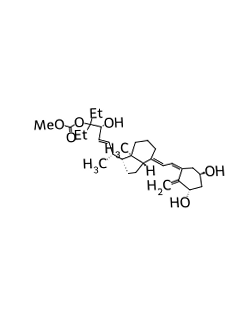 C=C1/C(=C\C=C2/CCC[C@]3(C)[C@@H]([C@H](C)/C=C/[C@@H](O)C(CC)(CC)OC(=O)OC)CC[C@@H]23)C[C@@H](O)C[C@@H]1O